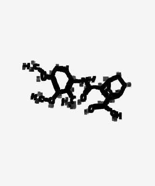 COc1ccc(NC(=O)C2C3CCC(O3)C2C(=O)O)c(C)c1OC